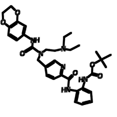 CCN(CC)CCN(Cc1ccc(C(=O)Nc2ccccc2NC(=O)OC(C)(C)C)nc1)C(=O)Nc1ccc2c(c1)OCCO2